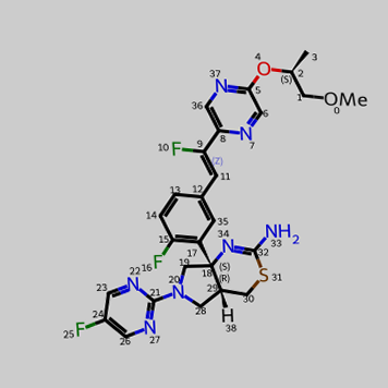 COC[C@H](C)Oc1cnc(/C(F)=C/c2ccc(F)c([C@]34CN(c5ncc(F)cn5)C[C@H]3CSC(N)=N4)c2)cn1